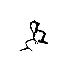 Cc1cc2ccccc2c(CC(C)C)n1